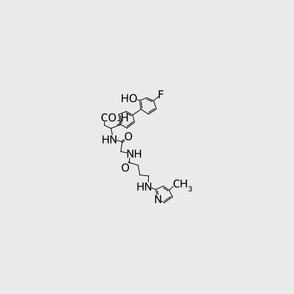 Cc1ccnc(NCCCC(=O)NCC(=O)NC(CC(=O)O)c2ccc(-c3ccc(F)cc3O)cc2)c1